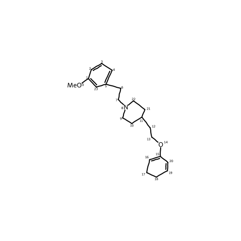 COc1cccc(CCN2CCC(CCOC3=CCCC=C3)CC2)c1